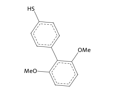 COc1cccc(OC)c1-c1ccc(S)cc1